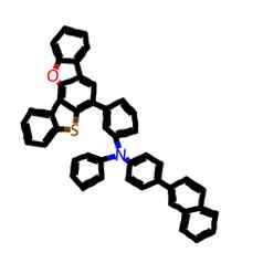 c1ccc(N(c2ccc(-c3ccc4ccccc4c3)cc2)c2cccc(-c3cc4c5ccccc5oc4c4c3sc3ccccc34)c2)cc1